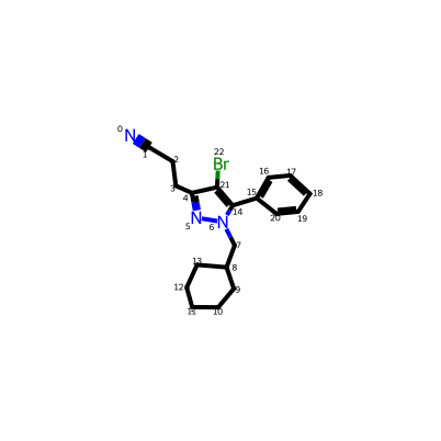 N#CCCc1nn(CC2CC[CH]CC2)c(-c2ccccc2)c1Br